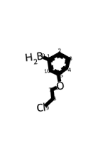 Bc1cccc(OCCCl)c1